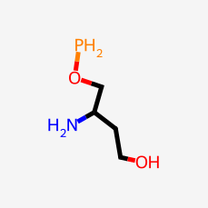 NC(CCO)COP